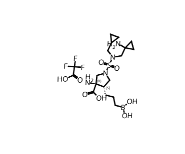 NC1(CN(CC2CC2)S(=O)(=O)N2C[C@H](CCCB(O)O)[C@](N)(C(=O)O)C2)CC1.O=C(O)C(F)(F)F